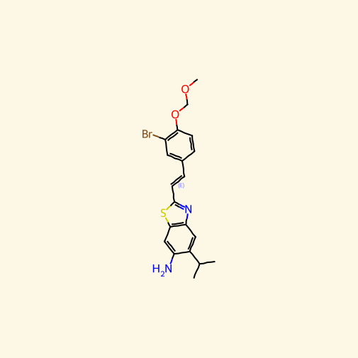 COCOc1ccc(/C=C/c2nc3cc(C(C)C)c(N)cc3s2)cc1Br